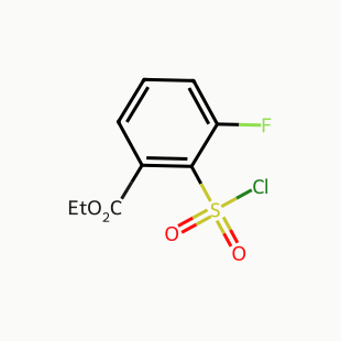 CCOC(=O)c1cccc(F)c1S(=O)(=O)Cl